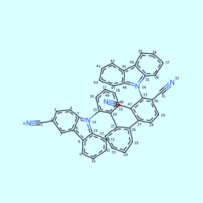 N#Cc1ccc2c(c1)c1ccccc1n2-c1ccccc1-c1ccccc1-c1ccc(C#N)c(-n2c3ccccc3c3ccccc32)c1C#N